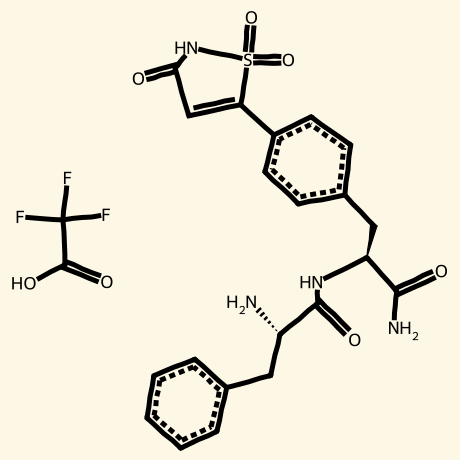 NC(=O)[C@H](Cc1ccc(C2=CC(=O)NS2(=O)=O)cc1)NC(=O)[C@@H](N)Cc1ccccc1.O=C(O)C(F)(F)F